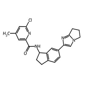 Cc1cc(Cl)nc(C(=O)NC2CCc3ccc(-c4cn5c(n4)CCC5)cc32)c1